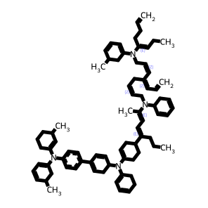 C=C/C=C(\C=C/CN(C1=CC=CC(C)C1)/C(=C/CC)CCC=C)C/C=C\CN(/C(C)=C/C=C(\CCC)C1CC=C(N(C2=CC=CCC2)C2C=CC(c3ccc(N(C4=CC(C)CCC4)C4=CC=CC(C)C4)cc3)=CC2)CC1)C1C=CC=CC1